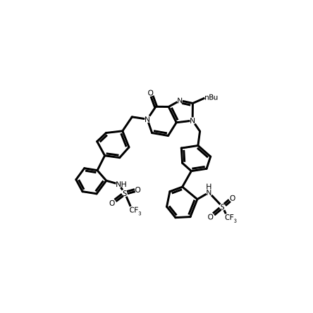 CCCCc1nc2c(=O)n(Cc3ccc(-c4ccccc4NS(=O)(=O)C(F)(F)F)cc3)ccc2n1Cc1ccc(-c2ccccc2NS(=O)(=O)C(F)(F)F)cc1